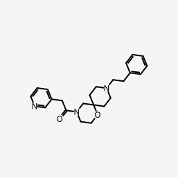 O=C(Cc1cccnc1)N1CCOC2(CCN(CCc3ccccc3)CC2)C1